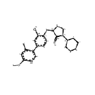 COc1cc(C)c(-c2ccc(CC3CCN(C4CCCCC4)C3=O)c(Cl)c2)cn1